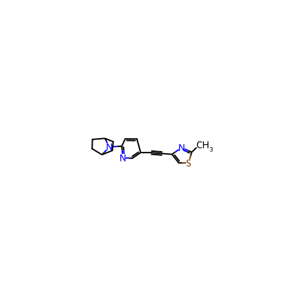 Cc1nc(C#Cc2ccc(N3C4CCC3CC4)nc2)cs1